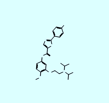 COc1ccc(NC(=O)c2cnc(-c3ccc(Cl)cc3)s2)cc1OCCN(C(C)C)C(C)C